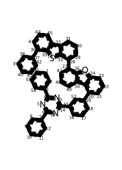 c1ccc(-c2nc(-c3ccccc3)nc(-c3cccc(-c4cccc5oc6c(-c7cccc8c7sc7c(-c9ccccc9)cccc78)cccc6c45)c3)n2)cc1